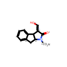 O=C(O)N1C(=O)/C(=C/O)C2c3ccccc3CC21